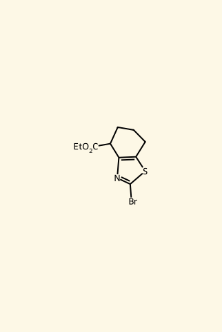 CCOC(=O)C1CCCc2sc(Br)nc21